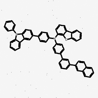 c1ccc(-n2c3ccccc3c3cc(-c4ccc(N(c5ccc(-c6cccc(-c7ccc8ccccc8c7)c6)cc5)c5cccc6c5oc5ccccc56)cc4)ccc32)cc1